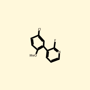 COc1ccc(Cl)cc1-c1cccnc1F